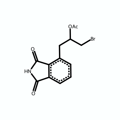 CC(=O)OC(CBr)Cc1cccc2c1C(=O)NC2=O